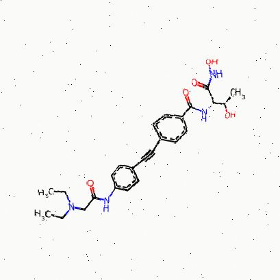 CCN(CC)CC(=O)Nc1ccc(C#Cc2ccc(C(=O)N[C@H](C(=O)NO)[C@@H](C)O)cc2)cc1